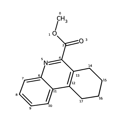 COC(=O)c1nc2ccccc2c2c1CCCC2